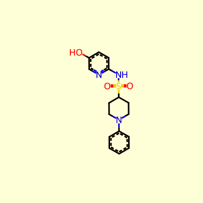 O=S(=O)(Nc1ccc(O)cn1)C1CCN(c2ccccc2)CC1